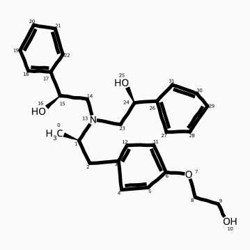 C[C@H](Cc1ccc(OCCO)cc1)N(C[C@@H](O)c1ccccc1)C[C@@H](O)c1ccccc1